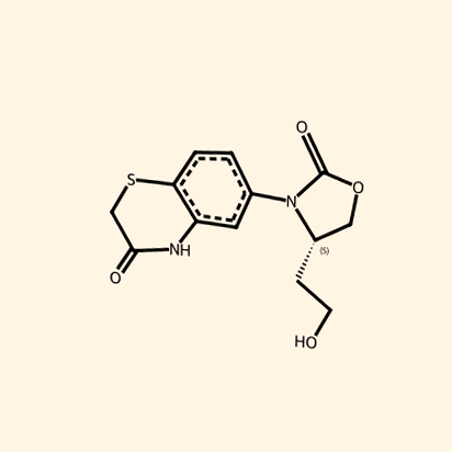 O=C1CSc2ccc(N3C(=O)OC[C@@H]3CCO)cc2N1